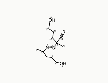 CC(CCCO)N=NC(C)(C#N)CCCO